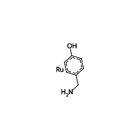 NCc1ccc(O)cc1.[Ru]